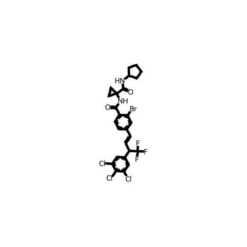 O=C(NC1(C(=O)NC2CCCC2)CC1)c1ccc(/C=C/C(c2cc(Cl)c(Cl)c(Cl)c2)C(F)(F)F)cc1Br